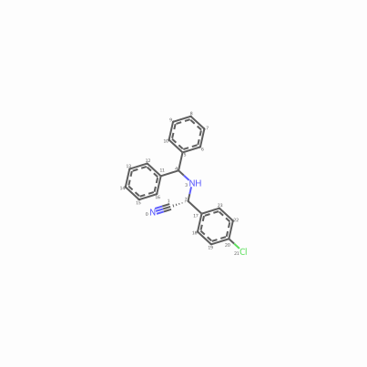 N#C[C@H](NC(c1ccccc1)c1ccccc1)c1ccc(Cl)cc1